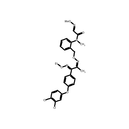 CCON=C(C(C)=NOCc1ccccc1N(C)C(=O)C=NOC)c1ccc(Oc2ccc(Cl)c(Cl)c2)cc1